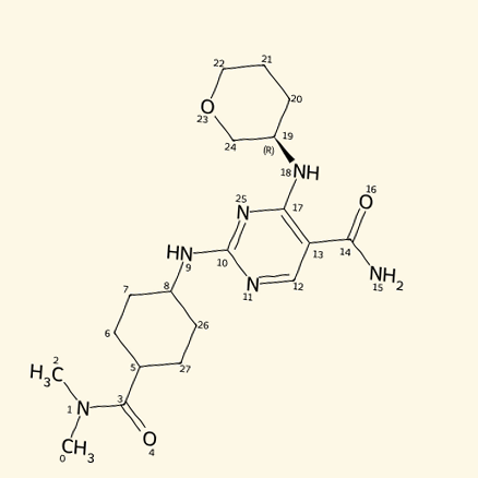 CN(C)C(=O)C1CCC(Nc2ncc(C(N)=O)c(N[C@@H]3CCCOC3)n2)CC1